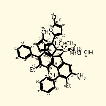 CCc1c(C)cc2c(c1-c1ccccc1)C=C(c1ccc(C)o1)[CH]2[Zr]([CH3])([CH3])(=[SiH2])[CH]1C(c2ccc(C)o2)=Cc2c1cc(C)c(CC)c2-c1ccccc1.Cl.Cl